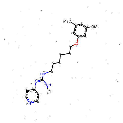 COc1cc(OC)cc(OCCCCCCNC(=Nc2ccncc2)NC#N)c1